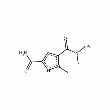 CCCN(C)C(=O)c1[c]c(C(N)=O)nn1C